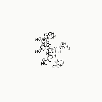 N=C(N)NCCC[C@H](NC(=O)[C@H](CCC(=O)O)NC(=O)CC[C@H](N)C(=O)O)C(=O)NC(CC(=O)O)C(=O)N[C@@H](CC(=O)O)C(=O)N[C@@H](CS)C(=O)O